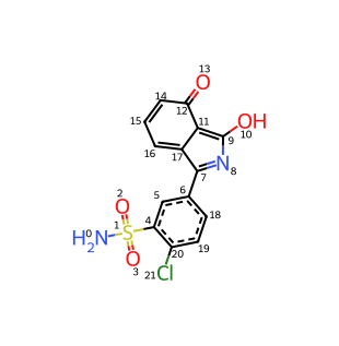 NS(=O)(=O)c1cc(C2=NC(O)=C3C(=O)C=CC=C23)ccc1Cl